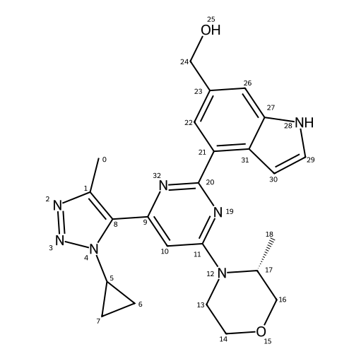 Cc1nnn(C2CC2)c1-c1cc(N2CCOC[C@H]2C)nc(-c2cc(CO)cc3[nH]ccc23)n1